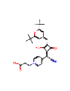 CC(C)(C)C1=CC(=CC2=C(O)/C(=C(/C#N)c3cc[n+](CCC(=O)O)cc3)C2=O)C=C(C(C)(C)C)O1